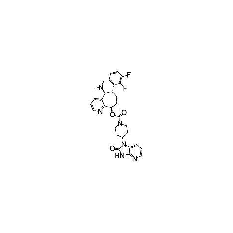 CN(C)[C@@H]1c2cccnc2[C@H](OC(=O)N2CCC(n3c(=O)[nH]c4ncccc43)CC2)CC[C@H]1c1cccc(F)c1F